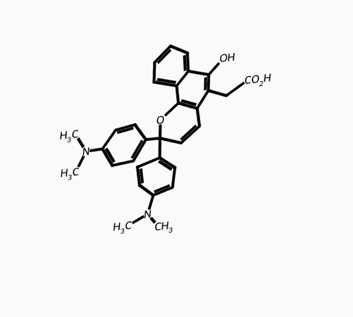 CN(C)c1ccc(C2(c3ccc(N(C)C)cc3)C=Cc3c(CC(=O)O)c(O)c4ccccc4c3O2)cc1